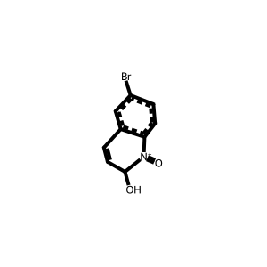 O=[N+]1c2ccc(Br)cc2C=CC1O